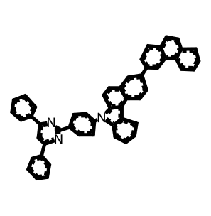 c1ccc(-c2cc(-c3ccccc3)nc(-c3ccc(-n4c5ccccc5c5c6ccc(-c7ccc8ccc9ccccc9c8c7)cc6ccc54)cc3)n2)cc1